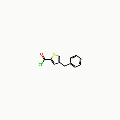 O=C(Cl)c1cc(Cc2ccccc2)cs1